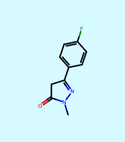 CN1N=C(c2ccc(F)cc2)CC1=O